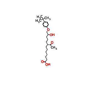 CC(=O)C(CCCCCCC(=O)O)CCCC(O)COc1ccc(C(C)(C)C)cc1